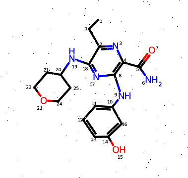 CCc1nc(C(N)=O)c(Nc2cccc(O)c2)nc1NC1CCOCC1